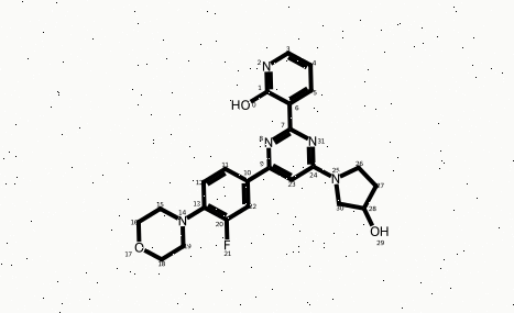 Oc1ncccc1-c1nc(-c2ccc(N3CCOCC3)c(F)c2)cc(N2CCC(O)C2)n1